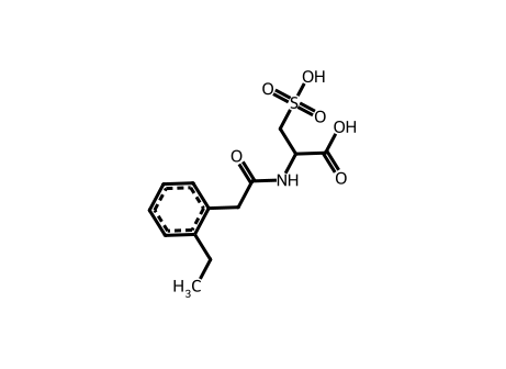 CCc1ccccc1CC(=O)NC(CS(=O)(=O)O)C(=O)O